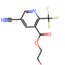 N#Cc1cnc(C(F)(F)F)c(C(=O)OCCO)c1